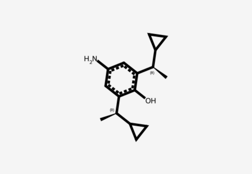 C[C@@H](c1cc(N)cc([C@H](C)C2CC2)c1O)C1CC1